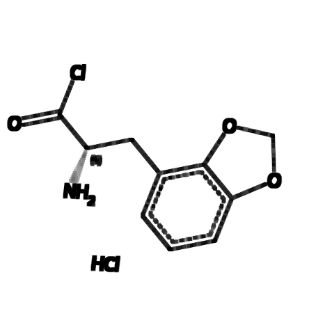 Cl.N[C@@H](Cc1cccc2c1OCO2)C(=O)Cl